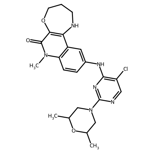 CC1CN(c2ncc(Cl)c(Nc3ccc4c(c3)c3c(c(=O)n4C)OCCCN3)n2)CC(C)O1